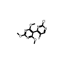 COc1nc(OC)c(-c2nc(Cl)ncc2F)c(OC)n1